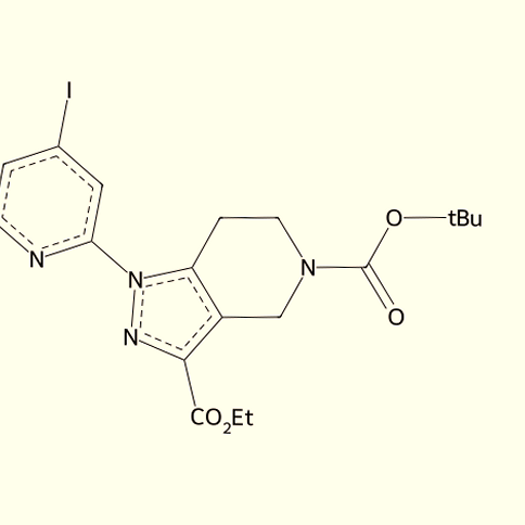 CCOC(=O)c1nn(-c2cc(I)ccn2)c2c1CN(C(=O)OC(C)(C)C)CC2